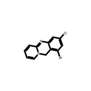 Clc1cc(Br)c2c(c1)N=C1C=CC=CN1C2